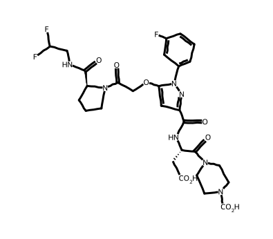 O=C(O)C[C@H](NC(=O)c1cc(OCC(=O)N2CCC[C@H]2C(=O)NCC(F)F)n(-c2cccc(F)c2)n1)C(=O)N1CCN(C(=O)O)CC1